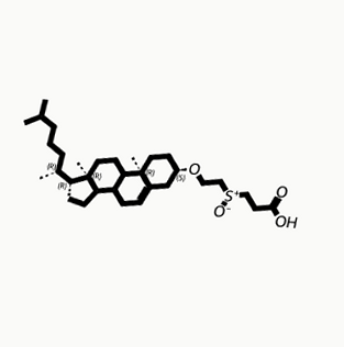 CC(C)CCC[C@@H](C)[C@H]1CCC2C3CC=C4C[C@@H](OCC[S+]([O-])CCC(=O)O)CC[C@]4(C)C3CC[C@@]21C